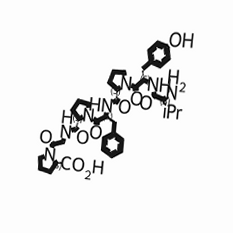 CC(C)[C@H](N)C(=O)N[C@@H](Cc1ccc(O)cc1)C(=O)N1CCC[C@H]1C(=O)N[C@@H](Cc1ccccc1)C(=O)N1CCC[C@H]1C(=O)NCC(=O)N1CCC[C@H]1C(=O)O